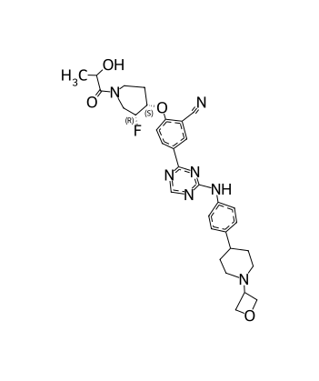 CC(O)C(=O)N1CC[C@H](Oc2ccc(-c3ncnc(Nc4ccc(C5CCN(C6COC6)CC5)cc4)n3)cc2C#N)[C@H](F)C1